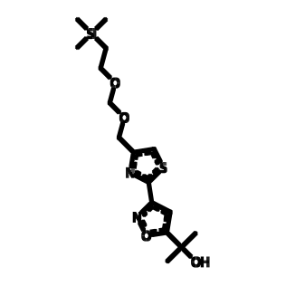 CC(C)(O)c1cc(-c2nc(COCOCC[Si](C)(C)C)cs2)no1